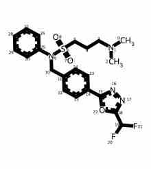 CN(C)CCCS(=O)(=O)N(Cc1ccc(-c2nnc(C(F)F)o2)cc1)c1ccccc1